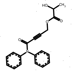 CC(O)C(=O)OCC#CC(=O)N(c1ccccc1)c1ccccc1